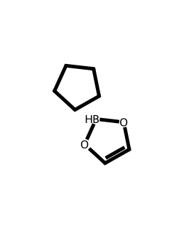 B1OC=CO1.C1CCCC1